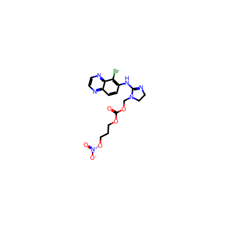 O=C(OCCCO[N+](=O)[O-])OCN1CCN=C1Nc1ccc2nccnc2c1Br